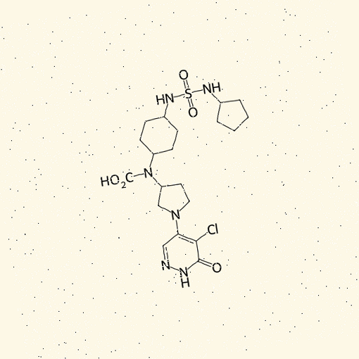 O=C(O)N(C1CCC(NS(=O)(=O)NC2CCCC2)CC1)C1CCN(c2cn[nH]c(=O)c2Cl)C1